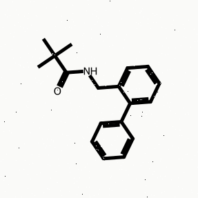 CC(C)(C)C(=O)NCc1ccccc1-c1ccccc1